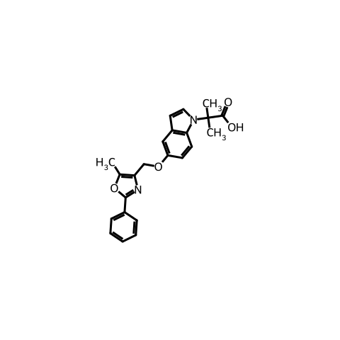 Cc1oc(-c2ccccc2)nc1COc1ccc2c(ccn2C(C)(C)C(=O)O)c1